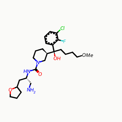 COCCCC[C@@](O)(c1cccc(Cl)c1F)[C@@H]1CCCN(C(=O)N[C@H](CN)CC2CCCO2)C1